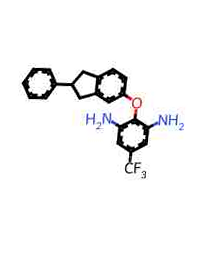 Nc1cc(C(F)(F)F)cc(N)c1Oc1ccc2c(c1)CC(c1ccccc1)C2